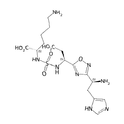 NCCCC[C@H](NS(=O)(=O)N[C@@H](CC(=O)O)c1nc([C@@H](N)Cc2cnc[nH]2)no1)C(=O)O